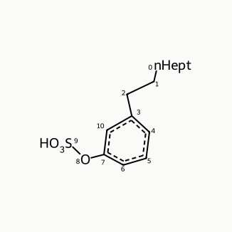 CCCCCCCCCc1cccc(OS(=O)(=O)O)c1